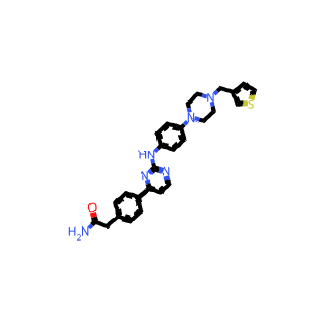 NC(=O)Cc1ccc(-c2ccnc(Nc3ccc(N4CCN(Cc5ccsc5)CC4)cc3)n2)cc1